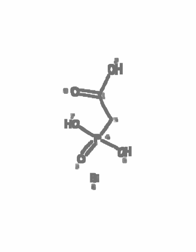 O=C(O)CP(=O)(O)O.[B]